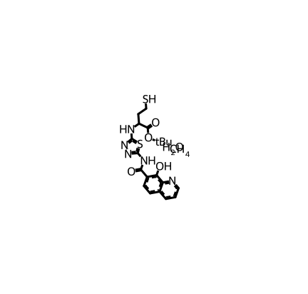 C.CC(C)(C)OC(=O)C(CCS)Nc1nnc(NC(=O)c2ccc3cccnc3c2O)s1.O